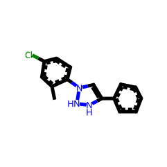 Cc1cc(Cl)ccc1N1C=C(c2ccccc2)NN1